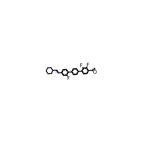 Fc1cc(/C=C/C2CCCCC2)ccc1-c1ccc(-c2ccc(C3CO3)c(F)c2F)cc1